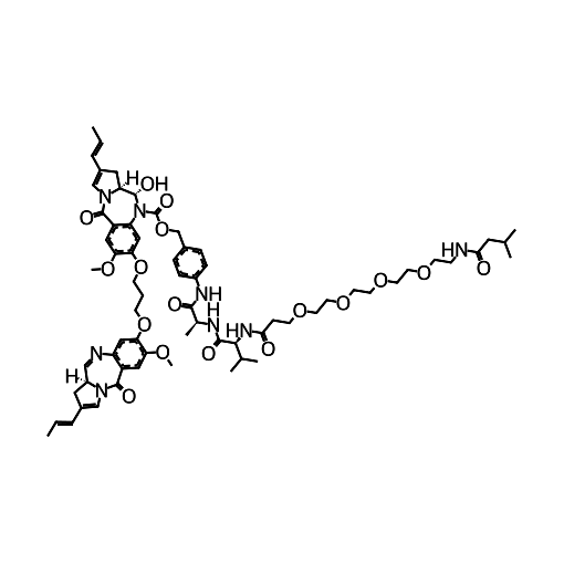 C/C=C/C1=CN2C(=O)c3cc(OC)c(OCCCOc4cc5c(cc4OC)C(=O)N4C=C(/C=C/C)C[C@H]4[C@H](O)N5C(=O)OCc4ccc(NC(=O)[C@H](C)NC(=O)[C@@H](NC(=O)CCOCCOCCOCCOCCNC(=O)CC(C)C)C(C)C)cc4)cc3N=C[C@@H]2C1